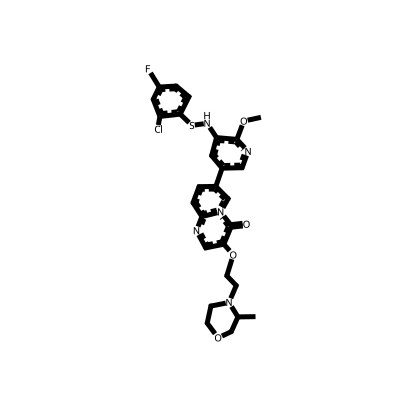 COc1ncc(-c2ccc3ncc(OCCN4CCOCC4C)c(=O)n3c2)cc1NSc1ccc(F)cc1Cl